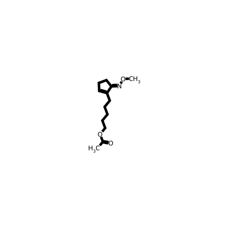 CON=C1CCC=C1CCCCCOC(C)=O